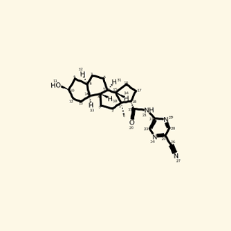 C[C@]12CC[C@H]3[C@@H](CC[C@@H]4C[C@H](O)CC[C@@H]43)[C@@H]1CC[C@@H]2C(=O)Nc1cnc(C#N)cn1